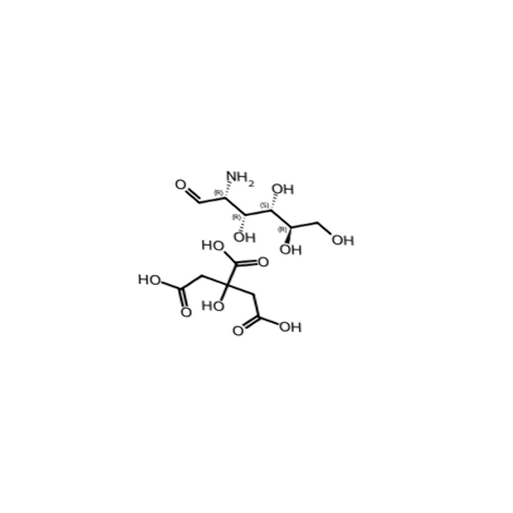 N[C@@H](C=O)[C@@H](O)[C@H](O)[C@H](O)CO.O=C(O)CC(O)(CC(=O)O)C(=O)O